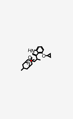 CC1CC2CC(C)(C)CC(C1)N2C(=O)CC(C)c1c[nH]c2cccc(OC3CC3)c12